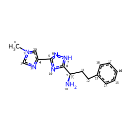 Cn1cnc(-c2n[nH]c([C@H](N)CCc3ccccc3)n2)c1